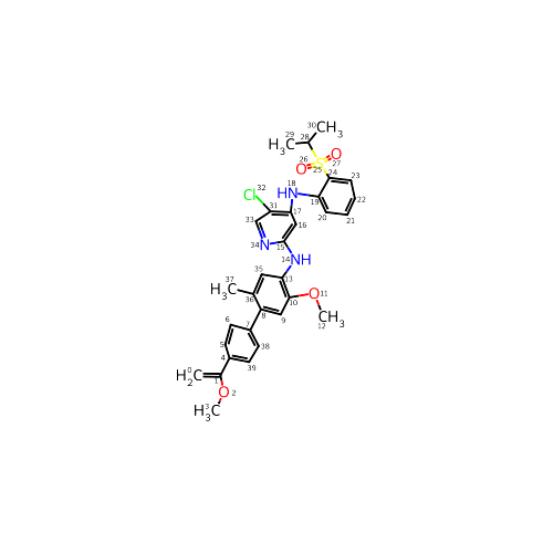 C=C(OC)c1ccc(-c2cc(OC)c(Nc3cc(Nc4ccccc4S(=O)(=O)C(C)C)c(Cl)cn3)cc2C)cc1